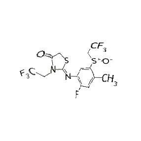 Cc1cc(F)c(/N=C2\SCC(=O)N2CC(F)(F)F)cc1[S@@+]([O-])CC(F)(F)F